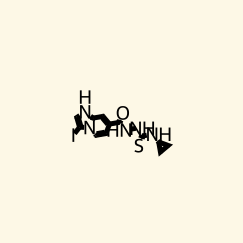 O=C(NNC(=S)NC1CC1)C1=CC2NC=C(I)N2C=C1